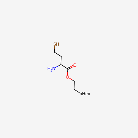 CCCCCCCCOC(=O)C(N)CCS